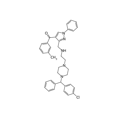 Cc1cccc(C(=O)c2cn(-c3ccccc3)nc2CNCCN2CCN(C(c3ccccc3)c3ccc(Cl)cc3)CC2)c1